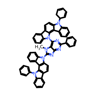 Cn1c(-n2c3ccccc3c3c2ccc2c4ccccc4n(-c4ccccc4)c23)nc2nc(-c3ccccc3)nc(-n3c4ccccc4c4ccc5c(c6ccccc6n5C5C=CC=CC5)c43)c21